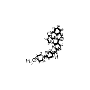 CN1CCN(c2ccc(Nc3ncc4c(n3)N3CCN=C3N(c3c(F)cccc3Cl)C4=O)cn2)CC1